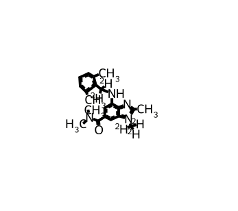 [2H]C([2H])(Nc1cc(C(=O)N(C)C)cc2c1nc(C)n2C([2H])([2H])[2H])c1c(C)cccc1C